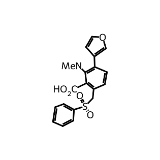 CNc1c(-c2ccoc2)ccc(CS(=O)(=O)c2ccccc2)c1C(=O)O